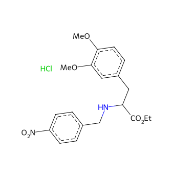 CCOC(=O)C(Cc1ccc(OC)c(OC)c1)NCc1ccc([N+](=O)[O-])cc1.Cl